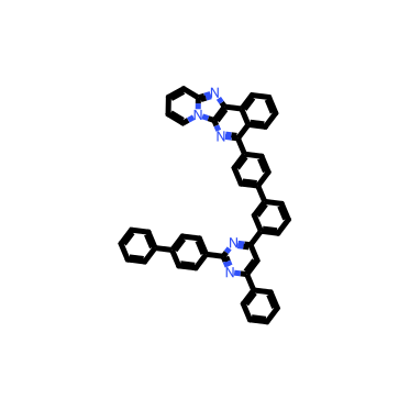 c1ccc(-c2ccc(-c3nc(-c4ccccc4)cc(-c4cccc(-c5ccc(-c6nc7c(nc8ccccn87)c7ccccc67)cc5)c4)n3)cc2)cc1